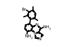 Cc1cc(C)c(-c2ccc(N)c3c2nc(N)c2cncn23)c(C)c1Br